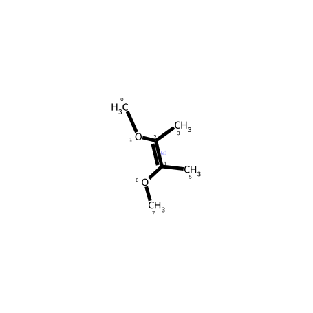 CO/C(C)=C(/C)OC